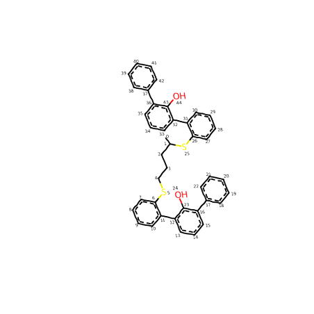 CC(CCCSc1ccccc1-c1cccc(-c2ccccc2)c1O)Sc1ccccc1-c1cccc(-c2ccccc2)c1O